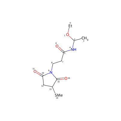 CCOC(C)NC(=O)CCN1C(=O)CC(SC)C1=O